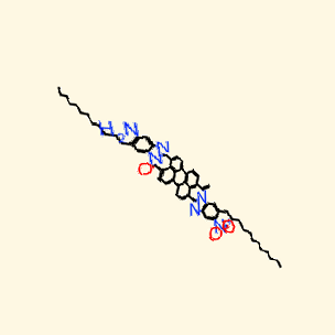 C=c1c2ccc3c4ccc5c6c(ccc(c7ccc(c2c73)c2nc3cc([N+](=O)[O-])c(CCCCCCCCCCCC)cc3n12)c46)c(=O)n1c2cc(CCCCCCCCCCCC)c(N)cc2nc51